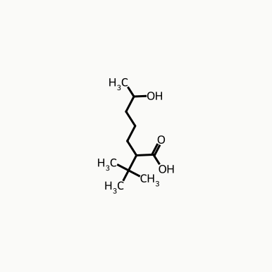 CC(O)CCCC(C(=O)O)C(C)(C)C